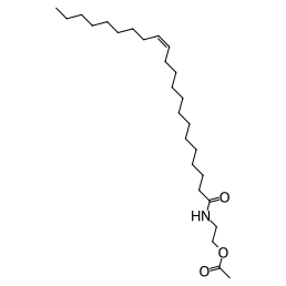 CCCCCCCC/C=C\CCCCCCCCCCCC(=O)NCCOC(C)=O